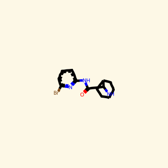 O=C(Nc1cccc(Br)n1)C1NC2CCC1CC2